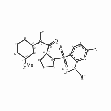 CCN(c1nc(C)ccc1S(=O)(=O)N1CCC[C@H]1C(=O)N(C)[C@@H]1CCC[C@H](OC)C1)C(C)C